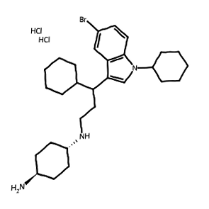 Cl.Cl.N[C@H]1CC[C@H](NCCC(c2cn(C3CCCCC3)c3ccc(Br)cc23)C2CCCCC2)CC1